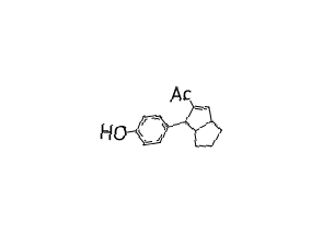 CC(=O)C1=CC2CCCC2C1c1ccc(O)cc1